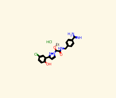 CCOC(C(=O)NCc1ccc(C(=N)N)cc1)n1ccc(-c2cc(Cl)ccc2O)n1.Cl